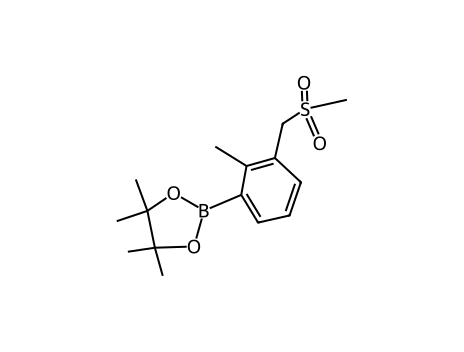 Cc1c(CS(C)(=O)=O)cccc1B1OC(C)(C)C(C)(C)O1